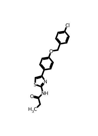 CCC(=O)Nc1nc(-c2ccc(OCc3ccc(Cl)cc3)cc2)cs1